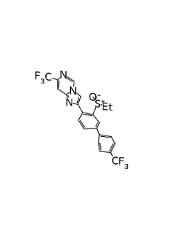 CC[S+]([O-])c1cc(-c2ccc(C(F)(F)F)cc2)ccc1-c1cn2cnc(C(F)(F)F)cc2n1